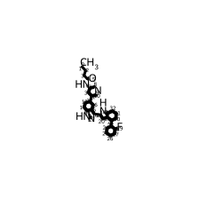 CCCCC(=O)Nc1cncc(-c2ccc3[nH]nc(-c4cc5c(-c6ccccc6F)cccc5[nH]4)c3c2)c1